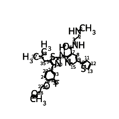 CNCCNC(=O)c1cc(-c2cccs2)cnc1Nc1nc(-c2ccc(OCCOC)c(F)c2)c(CC(C)C)s1